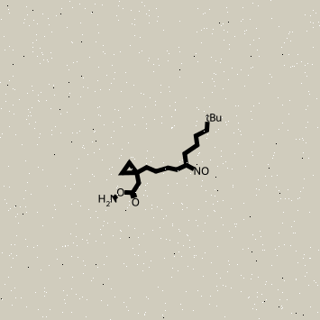 CC(C)(C)CCCCC(CCCCC1(CC(=O)ON)CC1)N=O